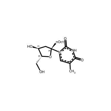 CCCCCCCC[C@]1(n2cc(C)c(=O)[nH]c2=O)C[C@H](O)[C@@H](CO)O1